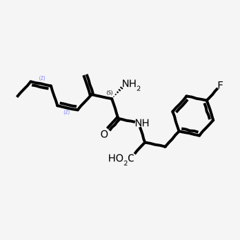 C=C(/C=C\C=C/C)[C@H](N)C(=O)NC(Cc1ccc(F)cc1)C(=O)O